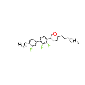 CCCCC1CCC(c2ccc(-c3ccc(C)c(F)c3)c(F)c2F)CO1